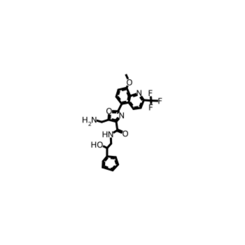 COc1ccc(-c2nc(C(=O)NCC(O)c3ccccc3)c(CN)o2)c2ccc(C(F)(F)F)nc12